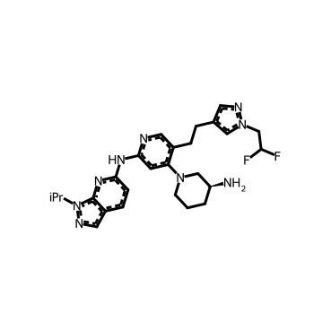 CC(C)n1ncc2ccc(Nc3cc(N4CCC[C@H](N)C4)c(CCc4cnn(CC(F)F)c4)cn3)nc21